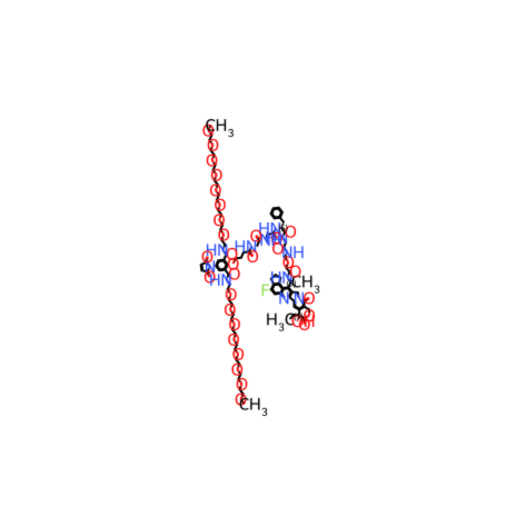 CC[C@@]1(O)C(=O)OCc2c1cc1n(c2=O)Cc2c-1nc1cc(F)c3c(c1c2[C@H](C)NC(=O)COCNC(=O)CNC(=O)[C@H](Cc1ccccc1)NC(=O)CNC(=O)CNC(=O)CCCOc1c(C(=O)NCCOCCOCCOCCOCCOCCOCCOCCOC)cc(N2C(=O)C=CC2=O)cc1C(=O)NCCOCCOCCOCCOCCOCCOCCOCCOC)CCC3